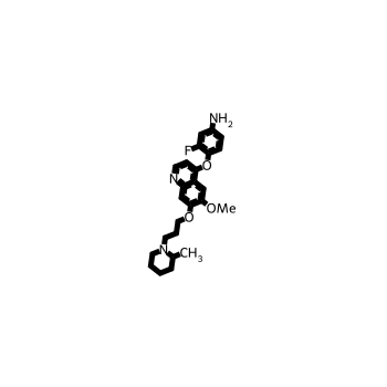 COc1cc2c(Oc3ccc(N)cc3F)ccnc2cc1OCCCN1CCCCC1C